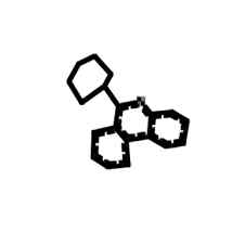 c1ccc2c(c1)nc(C1CCCCC1)c1ccccc12